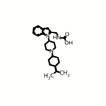 CC(C)C1CCC(N2CCC(n3c(CNC(=O)O)cc4ccccc43)CC2)CC1